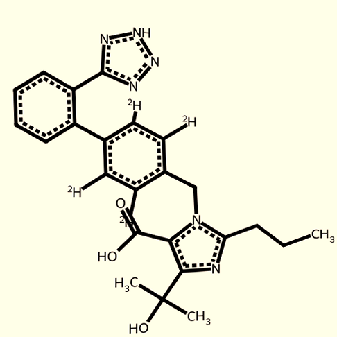 [2H]c1c([2H])c(-c2ccccc2-c2nn[nH]n2)c([2H])c([2H])c1Cn1c(CCC)nc(C(C)(C)O)c1C(=O)O